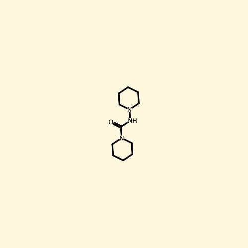 O=C(NN1CCCCC1)N1CCCCC1